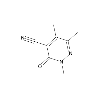 Cc1nn(C)c(=O)c(C#N)c1C